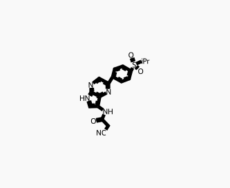 CC(C)S(=O)(=O)c1ccc(-c2cnc3[nH]cc(NC(=O)CC#N)c3n2)cc1